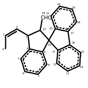 C/C=C\C1c2ccccc2C2(c3ccccc3-c3ccccc32)C1C=O